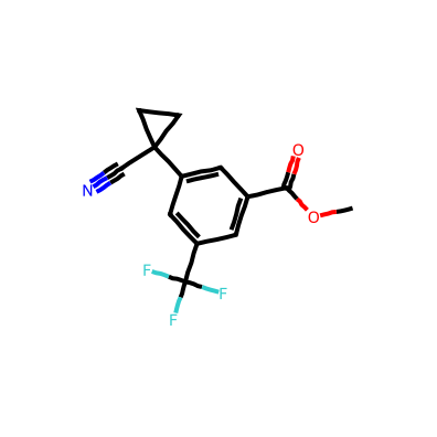 COC(=O)c1cc(C(F)(F)F)cc(C2(C#N)CC2)c1